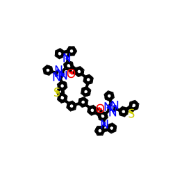 c1ccc(-c2cccc(-c3ccc4c(c3)oc3c(-c5nc(-c6ccccc6)nc(-c6ccc7c(c6)sc6ccc(-c8cccc(-c9cccc(-c%10ccc%11c(c%10)oc%10c(-c%12nc(-c%13ccccc%13)nc(-c%13ccc%14sc%15ccccc%15c%14c%13)n%12)cc(-n%12c%13ccccc%13c%13ccccc%13%12)cc%10%11)c9)c8)cc67)n5)cc(-n5c6ccccc6c6ccccc65)cc34)c2)cc1